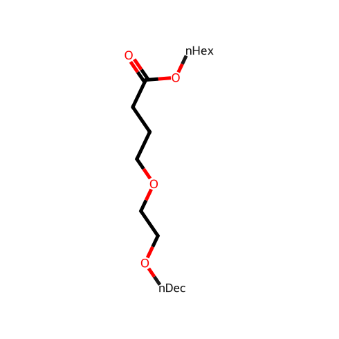 CCCCCCCCCCOCCOCCCC(=O)OCCCCCC